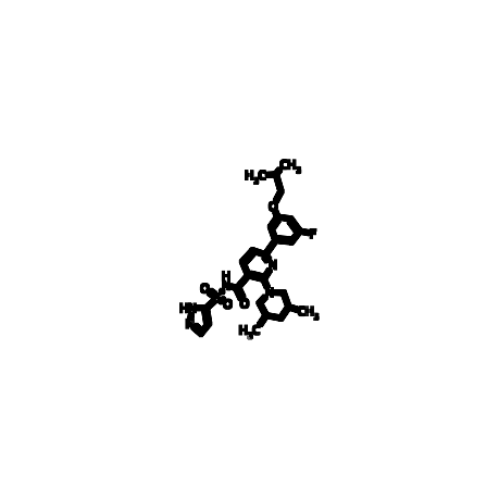 CC(C)COc1cc(F)cc(-c2ccc(C(=O)NS(=O)(=O)c3ccn[nH]3)c(N3CC(C)CC(C)C3)n2)c1